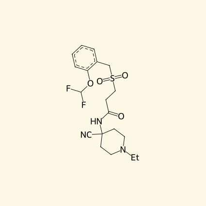 CCN1CCC(C#N)(NC(=O)CCS(=O)(=O)Cc2ccccc2OC(F)F)CC1